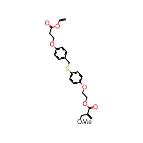 C=COC(=O)CCOc1ccc(CSc2ccc(OCCOC(=O)C(=C)COC)cc2)cc1